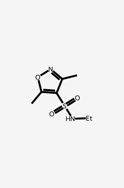 CCNS(=O)(=O)c1c(C)noc1C